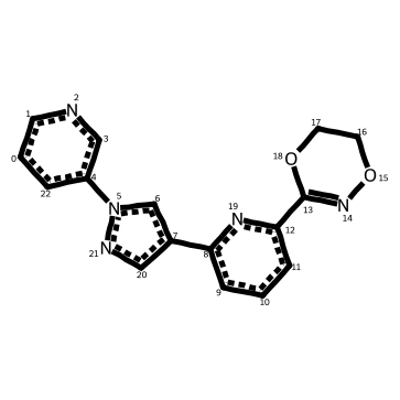 c1cncc(-n2cc(-c3cccc(C4=NOCCO4)n3)cn2)c1